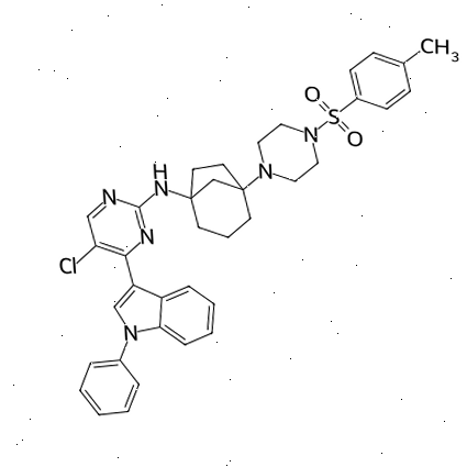 Cc1ccc(S(=O)(=O)N2CCN(C34CCCC(Nc5ncc(Cl)c(-c6cn(-c7ccccc7)c7ccccc67)n5)(CC3)C4)CC2)cc1